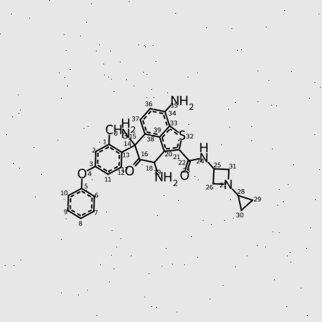 Cc1cc(Oc2ccccc2)ccc1C1(N)C(=O)C(N)c2c(C(=O)NC3CN(C4CC4)C3)sc3c(N)ccc1c23